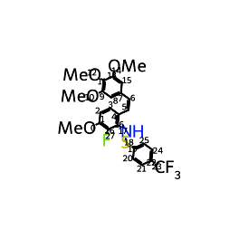 COc1ccc(/C=C\c2cc(OC)c(OC)c(OC)c2)c(NSc2ccc(C(F)(F)F)cc2)c1F